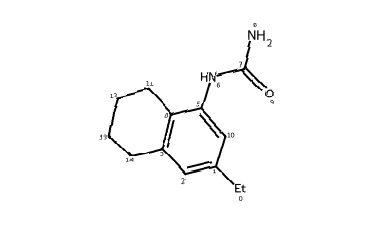 CCc1cc2c(c(NC(N)=O)c1)CCCC2